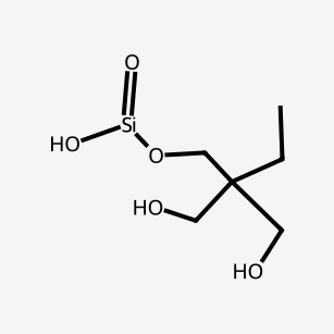 CCC(CO)(CO)CO[Si](=O)O